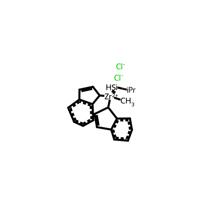 CC(C)[SiH]=[Zr+2]([CH3])([CH]1C=Cc2ccccc21)[CH]1C=Cc2ccccc21.[Cl-].[Cl-]